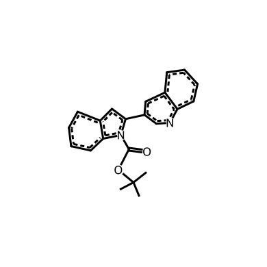 CC(C)(C)OC(=O)n1c(-c2cnc3ccccc3c2)cc2ccccc21